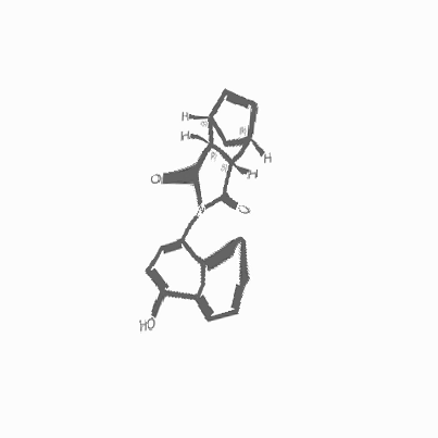 O=C1[C@@H]2[C@H](C(=O)N1c1ccc(O)c3ccccc13)[C@@H]1C=C[C@H]2C1